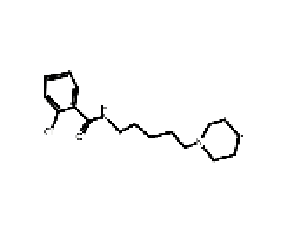 O=C(NCCCCCN1CC[CH]CC1)c1ccccc1Cl